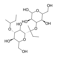 CCC(C)O[C@@H]1C(O)[C@H](C(C)(CC)OC2[C@H](O)C(CO)OC(O)[C@@H]2O)OC(CO)[C@H]1O